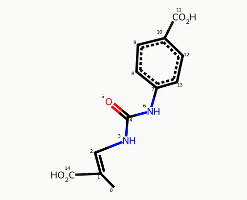 CC(=CNC(=O)Nc1ccc(C(=O)O)cc1)C(=O)O